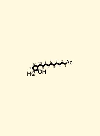 CC(=O)CCCCCCCCCCC1CCC(O)C1O